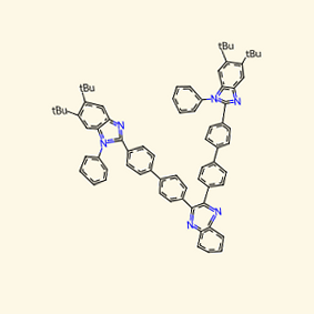 CC(C)(C)c1cc2nc(-c3ccc(-c4ccc(-c5nc6ccccc6nc5-c5ccc(-c6ccc(-c7nc8cc(C(C)(C)C)c(C(C)(C)C)cc8n7-c7ccccc7)cc6)cc5)cc4)cc3)n(-c3ccccc3)c2cc1C(C)(C)C